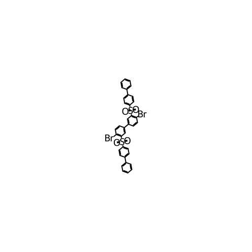 O=S(=O)(c1ccc(-c2ccccc2)cc1)c1cc(-c2ccc(Br)c(S(=O)(=O)c3ccc(-c4ccccc4)cc3)c2)ccc1Br